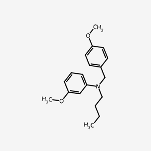 CCCCN(Cc1ccc(OC)cc1)c1cccc(OC)c1